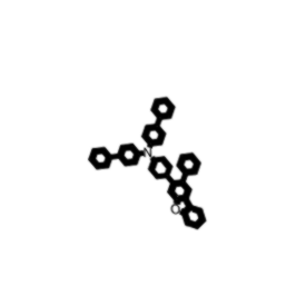 C1=CC(c2cc3oc4ccccc4c3cc2-c2ccccc2)CC=C1N(c1ccc(-c2ccccc2)cc1)c1ccc(-c2ccccc2)cc1